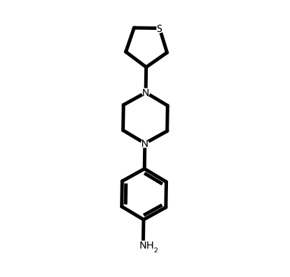 Nc1ccc(N2CCN(C3CCSC3)CC2)cc1